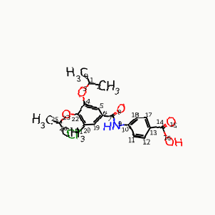 CC(C)Oc1cc(C(=O)Nc2ccc(C(=O)O)cc2)cc(Cl)c1OC(C)C